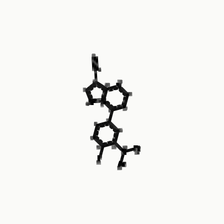 C#Cc1cnn2c(-c3ccc(F)c(N(CC)C(C)=O)c3)ccnc12